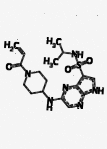 C=CC(=O)N1CCC(Nc2cnc3[nH]cc(S(=O)(=O)NC(C)C)c3n2)CC1